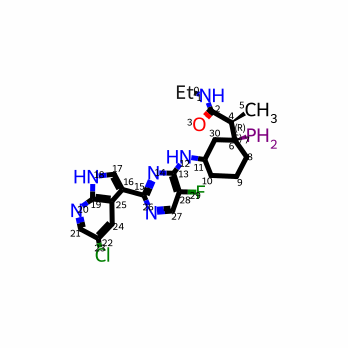 CCNC(=O)[C@@H](C)[C@]1(P)CCCC(Nc2nc(-c3c[nH]c4ncc(Cl)cc34)ncc2F)C1